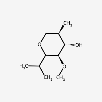 CO[C@H]1C(C(C)C)OC[C@@H](C)[C@@H]1O